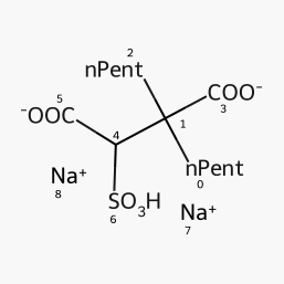 CCCCCC(CCCCC)(C(=O)[O-])C(C(=O)[O-])S(=O)(=O)O.[Na+].[Na+]